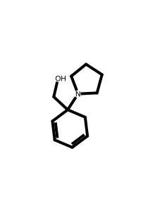 OCC1(N2CCCC2)C=CC=CC1